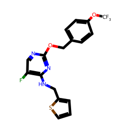 Fc1cnc(OCc2ccc(OC(F)(F)F)cc2)nc1NCc1cccs1